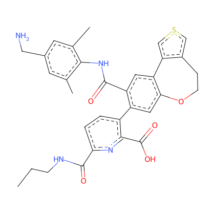 CCCNC(=O)c1ccc(-c2cc3c(cc2C(=O)Nc2c(C)cc(CN)cc2C)-c2cscc2CCO3)c(C(=O)O)n1